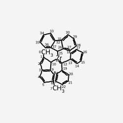 CC1=Cc2ccc(C)cc2[CH]1[Zr](=[C](c1ccccc1)c1ccccc1)[CH]1c2ccccc2-c2ccccc21